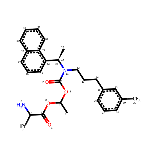 CC(OC(=O)C(N)C(C)C)OC(=O)N(CCCc1cccc(C(F)(F)F)c1)[C@H](C)c1cccc2ccccc12